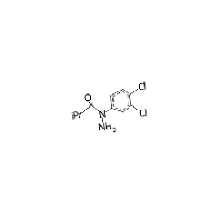 CC(C)C(=O)N(N)c1ccc(Cl)c(Cl)c1